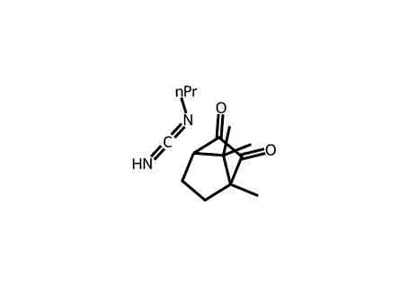 CC12CCC(C(=O)C1=O)C2(C)C.CCCN=C=N